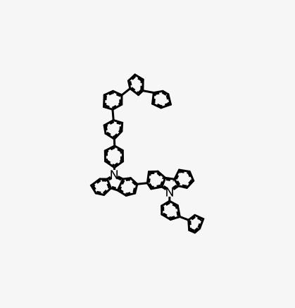 c1ccc(-c2cccc(-c3cccc(-c4ccc(-c5ccc(-n6c7ccccc7c7ccc(-c8ccc9c%10ccccc%10n(-c%10cccc(-c%11ccccc%11)c%10)c9c8)cc76)cc5)cc4)c3)c2)cc1